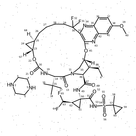 C1CNCCN1.CC[C@@H]1[C@@H]2CN(C(=O)[C@H](C(C)(C)C)NC(=O)O[C@@H]3C[C@H]3CCCCC(F)(F)c3nc4ccc(OC)cc4nc3O2)[C@@H]1C(=O)N[C@]1(C(=O)NS(=O)(=O)C2(C)CC2)C[C@H]1C(F)F